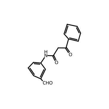 O=Cc1cccc(NC(=O)CC(=O)c2ccccc2)c1